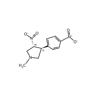 CN1C[C@H](c2ccc([N+](=O)[O-])cc2)[C@@H]([N+](=O)[O-])C1